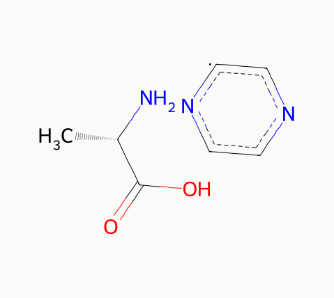 C[C@H](N)C(=O)O.[c]1cnccn1